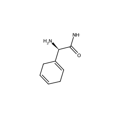 [NH]C(=O)[C@H](N)C1=CCC=CC1